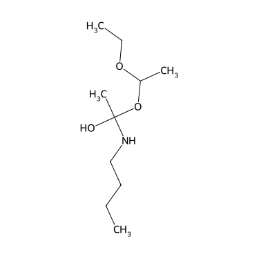 CCCCNC(C)(O)OC(C)OCC